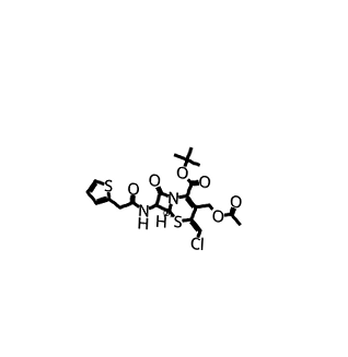 CC(=O)OCC1=C(C(=O)OC(C)(C)C)N2C(=O)C(NC(=O)Cc3cccs3)[C@@H]2SC1=CCl